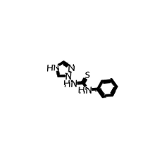 S=C(Nc1ccccc1)NN1CNC=N1